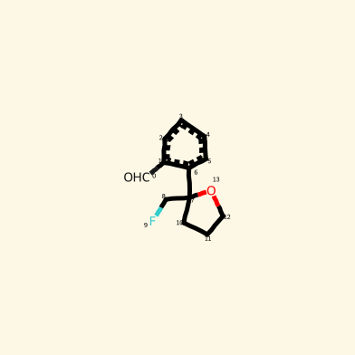 O=Cc1ccccc1C1(CF)CCCO1